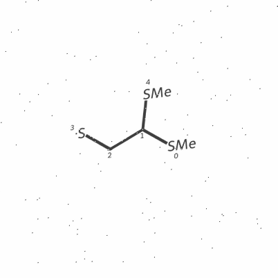 CSC(C[S])SC